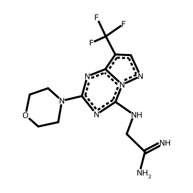 N=C(N)CNc1nc(N2CCOCC2)nc2c(C(F)(F)F)cnn12